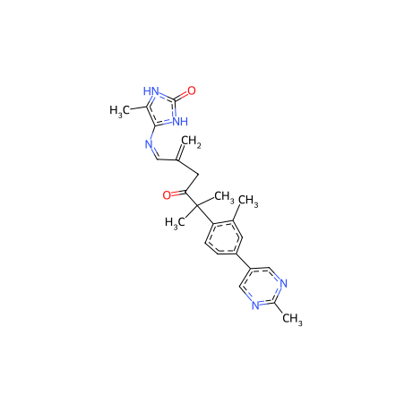 C=C(/C=N\c1[nH]c(=O)[nH]c1C)CC(=O)C(C)(C)c1ccc(-c2cnc(C)nc2)cc1C